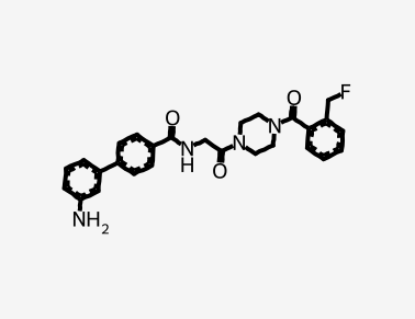 Nc1cccc(-c2ccc(C(=O)NCC(=O)N3CCN(C(=O)c4ccccc4CF)CC3)cc2)c1